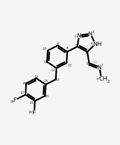 C/N=C/c1[nH]nnc1-c1cccc(Cc2ccc(F)c(F)c2)c1